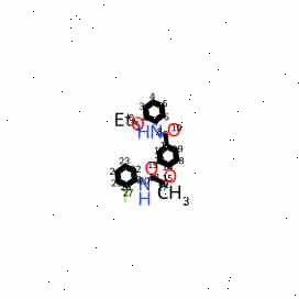 CCOc1ccccc1NC(=O)c1ccc(OC(C)C(=O)Nc2ccccc2F)cc1